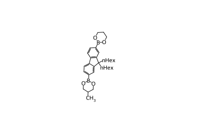 CCCCCCC1(CCCCCC)c2cc(B3OCCCO3)ccc2-c2ccc(B3OCC(C)CO3)cc21